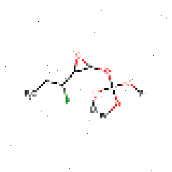 CCO[Si](OCC)(OCC)OC1OC1C(F)CC(F)(F)F